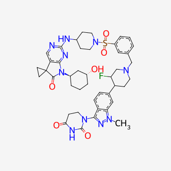 Cn1nc(N2CCC(=O)NC2=O)c2ccc(C3CCN(Cc4cccc(S(=O)(=O)N5CCC(Nc6ncc7c(n6)N([C@@H]6CCC[C@@H](O)C6)C(=O)C76CC6)CC5)c4)CC3F)cc21